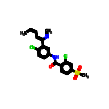 C=N/C(=C\C=C/C)c1cc(NC(=O)c2ccc(S(C)(=O)=O)cc2Cl)ccc1Cl